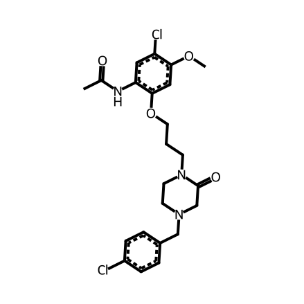 COc1cc(OCCCN2CCN(Cc3ccc(Cl)cc3)CC2=O)c(NC(C)=O)cc1Cl